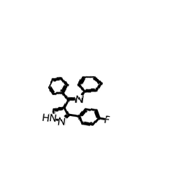 Fc1ccc(-c2n[nH]cc2C(=Nc2ccccc2)c2ccccc2)cc1